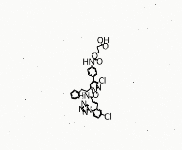 O=C(O)CCOC(=O)Nc1ccc(-c2cc(C(Cc3ccccc3)NC(=O)C=Cc3cc(Cl)ccc3-n3cnnn3)nnc2Cl)cc1